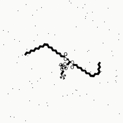 CCCC/C=C\C/C=C\CCCCCCCC(=O)O[C@H](COC(=O)CCCCCCC/C=C\CCCCCCCCC)COP(=O)([O-])OCC[N+](C)(C)C